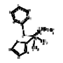 Br.Br.[CH3][Ti]([CH3])(=[SiH2])([CH2]c1ccccc1)[C]1=CC=CC1